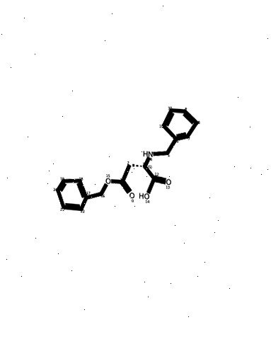 O=C(C[C@H](NCc1ccccc1)C(=O)O)OCc1ccccc1